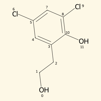 OCCc1cc(Cl)cc(Cl)c1O